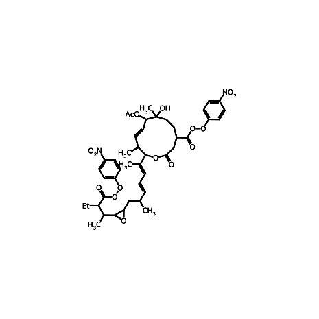 CCC(C(=O)OOc1ccc([N+](=O)[O-])cc1)C(C)C1OC1CC(C)/C=C/C=C(\C)C1OC(=O)CC(C(=O)OOc2ccc([N+](=O)[O-])cc2)CCC(C)(O)C(OC(C)=O)/C=C/C1C